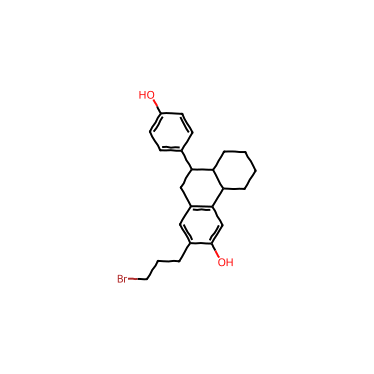 Oc1ccc(C2Cc3cc(CCCBr)c(O)cc3C3CCCCC23)cc1